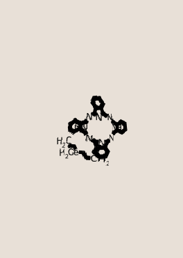 C=C[CH2][GeH2][CH2]C=C.c1ccc2c(c1)-c1nc-2nc2[nH]c(nc3nc(nc4[nH]c(n1)c1ccccc41)-c1ccccc1-3)c1ccccc21